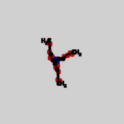 C=CC(=O)OCCCCCCOc1ccc(OC(=O)c2ccc3c4ccc(C(=O)Oc5ccc(OCCCCCCOC(=O)C=C)cc5)cc4c4nc5cc(-c6cccc(OCCOCCOC(=O)C=C)c6)ccc5nc4c3c2)cc1